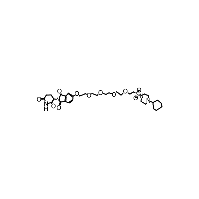 O=C1CCC(N2C(=O)c3ccc(OCCOCCOCCOCCOCCS(=O)(=O)N4CCN(C5CCCCC5)CC4)cc3C2=O)C(=O)N1